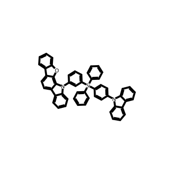 c1ccc([Si](c2ccccc2)(c2ccc(-n3c4ccccc4c4ccccc43)cc2)c2cccc(-n3c4ccccc4c4ccc5c6ccccc6oc5c43)c2)cc1